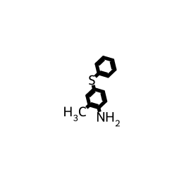 Cc1cc(Sc2ccccc2)ccc1N